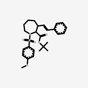 COc1ccc(S(=O)(=O)N2CCCCC(C=Cc3ccccc3)C2C(=O)OC(C)(C)C)cc1